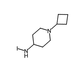 INC1CCN(C2CCC2)CC1